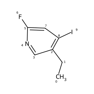 CCc1cnc(F)cc1I